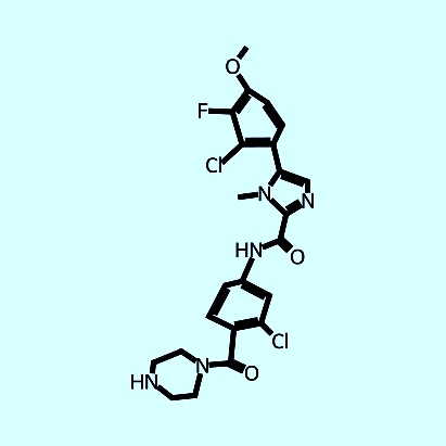 COc1ccc(-c2cnc(C(=O)Nc3ccc(C(=O)N4CCNCC4)c(Cl)c3)n2C)c(Cl)c1F